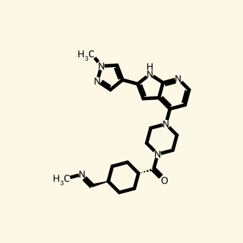 CN=C[C@H]1CC[C@H](C(=O)N2CCN(c3ccnc4[nH]c(-c5cnn(C)c5)cc34)CC2)CC1